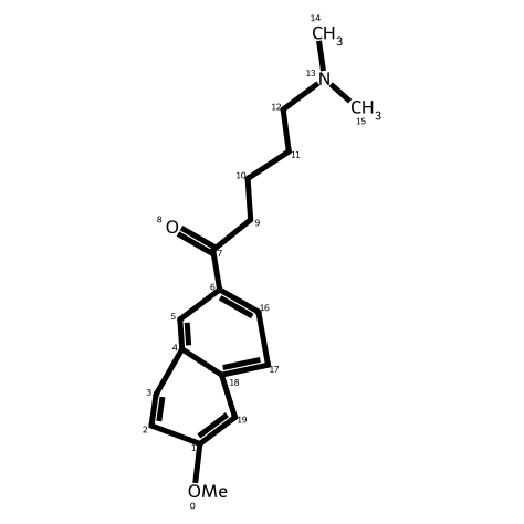 COc1ccc2cc(C(=O)CCCCN(C)C)ccc2c1